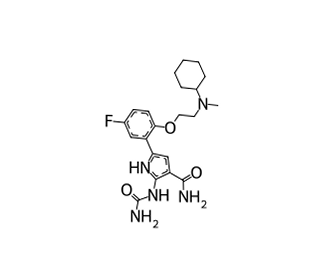 CN(CCOc1ccc(F)cc1-c1cc(C(N)=O)c(NC(N)=O)[nH]1)C1CCCCC1